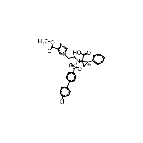 COC(=O)c1cn(CCN([C@]2(C(=O)O)C[C@@H]2c2ccccc2)S(=O)(=O)c2ccc(-c3ccc(Cl)cc3)cc2)cn1